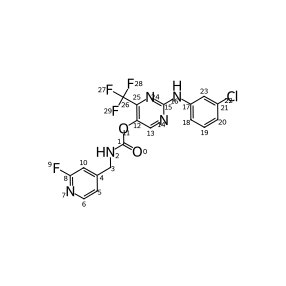 O=C(NCc1ccnc(F)c1)Oc1cnc(Nc2cccc(Cl)c2)nc1C(F)(F)F